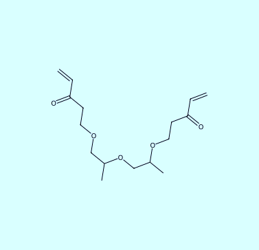 C=CC(=O)CCOCC(C)OCC(C)OCCC(=O)C=C